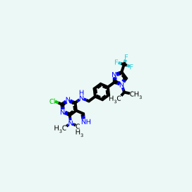 CC(C)n1cc(C(F)(F)F)nc1-c1ccc(CNc2nc(Cl)nc(N(C)C)c2C=N)cc1